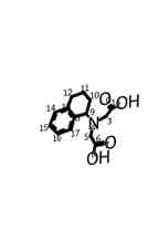 O=C(O)CN(CC(=O)O)[C@@H]1CCCc2ccccc21